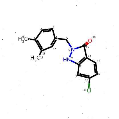 Cc1ccc(Cn2[nH]c3cc(Cl)ccc3c2=O)cc1C